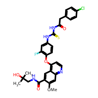 COc1cc2nccc(Oc3ccc(NC(=S)NC(=O)Cc4ccc(Cl)cc4)cc3F)c2cc1C(=O)NCC(C)(C)O